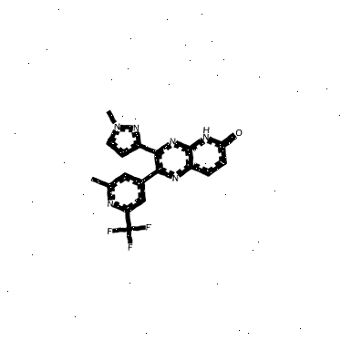 Cc1cc(-c2nc3ccc(=O)[nH]c3nc2-c2ccn(C)n2)cc(C(F)(F)F)n1